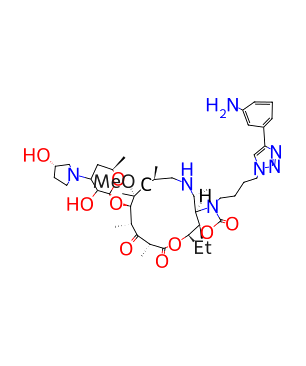 CC[C@H]1OC(=O)[C@H](C)C(=O)[C@H](C)[C@@H](O[C@@H]2O[C@H](C)CC(N3CC[C@H](O)C3)C2O)[C@](C)(OC)C[C@@H](C)CN[C@H](C)[C@H]2N(CCCCn3cc(-c4cccc(N)c4)nn3)C(=O)O[C@]12C